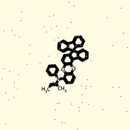 C/C=C(\C)N(c1ccccc1)c1cccc2c1Oc1ccc3c(c1O2)-c1ccccc1C31c2ccccc2-c2ccccc21